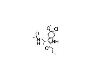 CCCC(=O)c1[nH]c2cc(Cl)c(OC)cc2c1C(C)CNC(C)=O